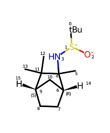 CC(C)(C)[S+]([O-])NC1(C)[C@@H]2CC[C@@H](C2)C1(C)C